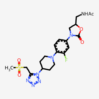 CC(=O)NCC1CN(c2ccc(N3CCC(n4nnnc4CS(C)(=O)=O)CC3)c(F)c2)C(=O)O1